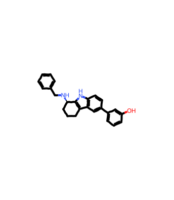 Oc1cccc(-c2ccc3[nH]c4c(c3c2)CCC[C@H]4NCc2ccccc2)c1